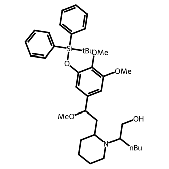 CCCCC(CO)N1CCCCC1CC(OC)c1cc(OC)c(OC)c(O[Si](c2ccccc2)(c2ccccc2)C(C)(C)C)c1